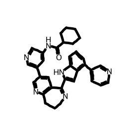 O=C(Nc1cncc(-c2cnc3c(c2)C(c2cc4c(-c5cccnc5)cccc4[nH]2)=NCCC3)c1)C1CCCCC1